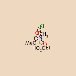 CCC(Oc1cccc(Cn2c(C)c(Oc3ccc(Cl)cc3)c3ccc(OC)cc32)c1)C(=O)O